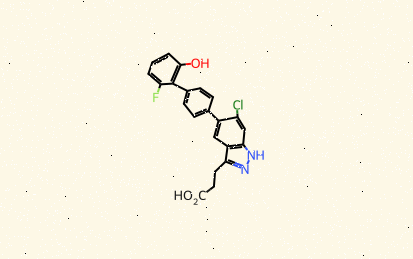 O=C(O)CCc1n[nH]c2cc(Cl)c(-c3ccc(-c4c(O)cccc4F)cc3)cc12